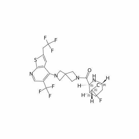 O=C([C@H]1N[C@@H]2CC[C@@H]1[C@@H](F)C2)N1CC2(C1)CN(c1c(C(F)(F)F)cnc3sc(CC(F)(F)F)cc13)C2